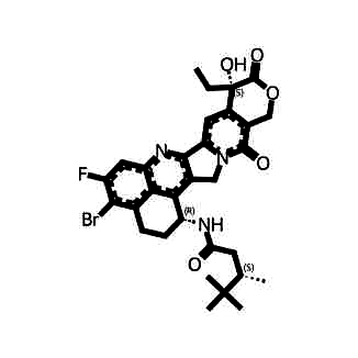 CC[C@@]1(O)C(=O)OCc2c1cc1n(c2=O)Cc2c-1nc1cc(F)c(Br)c3c1c2[C@H](NC(=O)C[C@H](C)C(C)(C)C)CC3